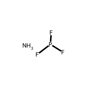 FP(F)F.N